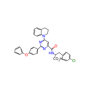 O=C(NC(Cc1ccc(Cl)cc1)C(=O)O)c1cc(N2CCCc3ccccc32)nc(-c2ccc(Oc3ccccc3)cc2)n1